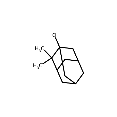 CC1(C)C2CC3CC(C2)CC1([O])C3